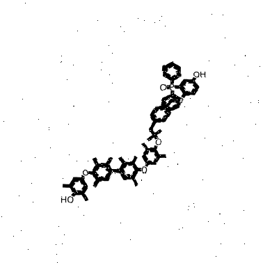 Cc1cc(Oc2c(C)cc(-c3cc(C)c(Oc4cc(C)c(OC(C)(C)Cc5ccc(COc6ccc(O)cc6P(=O)(c6ccccc6)c6ccccc6)cc5)c(C)c4)c(C)c3C)c(C)c2C)cc(C)c1O